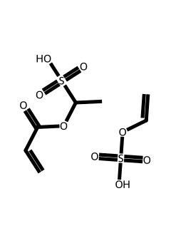 C=CC(=O)OC(C)S(=O)(=O)O.C=COS(=O)(=O)O